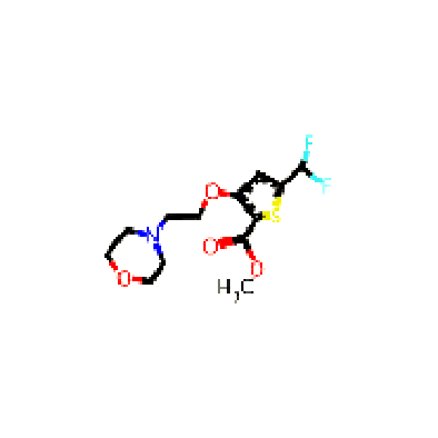 COC(=O)c1sc(C(F)F)cc1OCCN1CCOCC1